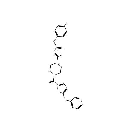 O=C(c1ccc(Oc2cccnc2)o1)N1CCN(c2nc(Cc3ccc(F)cc3)ns2)CC1